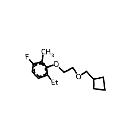 CCc1ccc(F)c(C)c1OCCOCC1CCC1